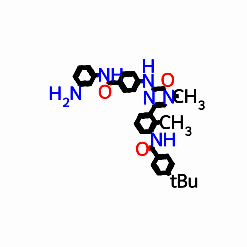 Cc1c(NC(=O)c2ccc(C(C)(C)C)cc2)cccc1-c1cn(C)c(=O)c(Nc2ccc(C(=O)Nc3cccc(N)c3)cc2)n1